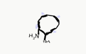 N=C1\C=C/C=C\C=C/C=C\1N